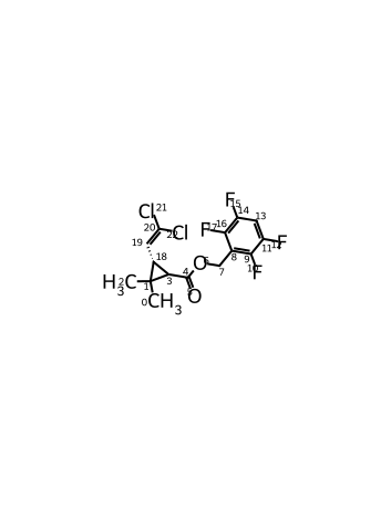 CC1(C)C(C(=O)OCc2c(F)c(F)cc(F)c2F)[C@H]1C=C(Cl)Cl